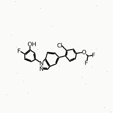 Oc1cc(-n2ncc3cc(-c4ccc(OC(F)F)cc4Cl)ccc32)ccc1F